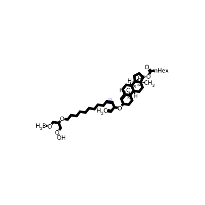 BOCC(COO)OCCCCCCCCC/C=C\C(C=C)OC1C=C2CC[C@H]3[C@@H]4CC[C@H](OC(=O)CCCCCC)[C@@]4(C)CC[C@@H]3[C@@]2(C)CC1